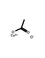 CC(=O)[O-].[Cl-].[Cu+2]